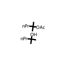 CCCC(C)(C)O.CCCC(C)(C)OC(C)=O